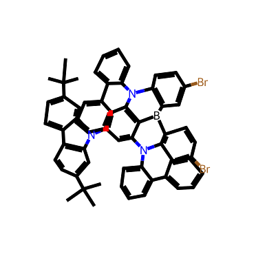 CC(C)(C)c1ccc2c3ccc(C(C)(C)C)cc3n(-c3cc4c5c(c3)N(c3ccccc3-c3ccccc3)c3cc(Br)ccc3B5c3cc(Br)ccc3N4c3ccccc3-c3ccccc3)c2c1